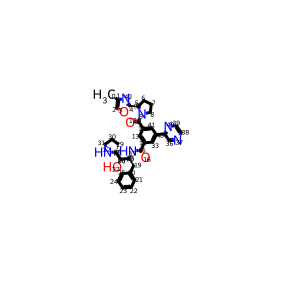 Cc1coc([C@H]2CCCN2C(=O)c2cc(C(=O)N[C@@H](Cc3ccccc3)[C@H](O)[C@H]3CCCN3)cc(-c3cnccn3)c2)n1